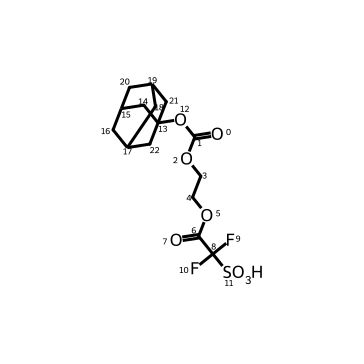 O=C(OCCOC(=O)C(F)(F)S(=O)(=O)O)OC12CC3CC(CC(C3)C1)C2